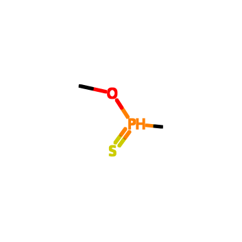 CO[PH](C)=S